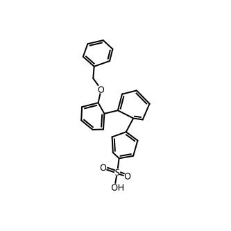 O=S(=O)(O)c1ccc(-c2ccccc2-c2ccccc2OCc2ccccc2)cc1